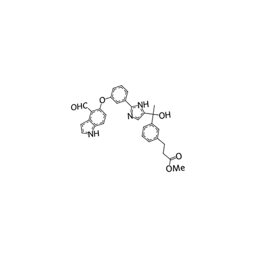 COC(=O)CCc1cccc(C(C)(O)c2cnc(-c3cccc(Oc4ccc5[nH]ccc5c4C=O)c3)[nH]2)c1